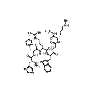 BNCCCC[C@H](NC(=O)CNC(=O)[C@H](Cc1c[nH]c2ccccc12)NC(=O)[C@H](CCCNC(=N)N)NC(=O)[C@@H](Cc1ccccc1)NC(=O)[C@H](Cc1cnc[nH]1)NP)C(=O)NP